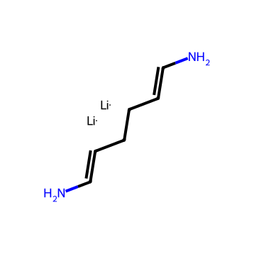 NC=CCCC=CN.[Li].[Li]